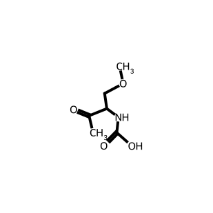 COCC(NC(=O)O)C(C)=O